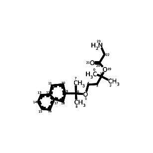 CC(C)(CCOC(C)(C)c1ccc2ccccc2c1)OC(=O)CN